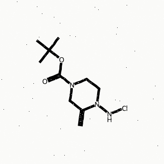 C=C1CN(C(=O)OC(C)(C)C)CCN1NCl